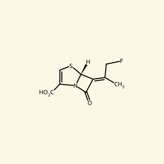 CC(CF)=C1C(=O)N2C(C(=O)O)=CS[C@H]12